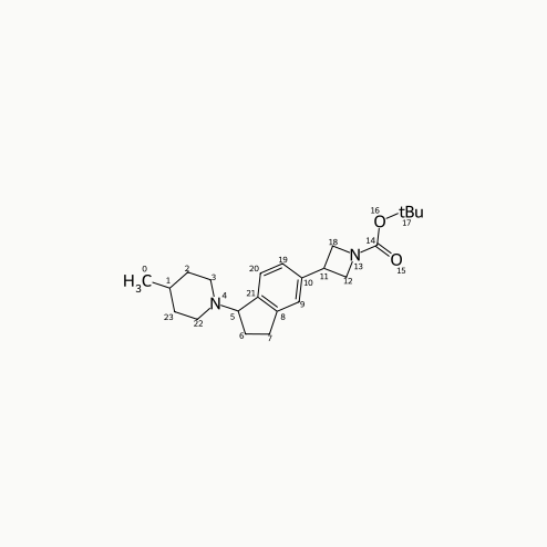 CC1CCN(C2CCc3cc(C4CN(C(=O)OC(C)(C)C)C4)ccc32)CC1